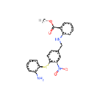 COC(=O)c1ccccc1NCc1ccc(Sc2ccccc2N)c([N+](=O)[O-])c1